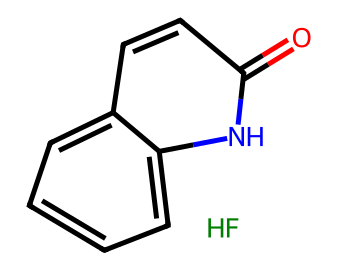 F.O=c1ccc2ccccc2[nH]1